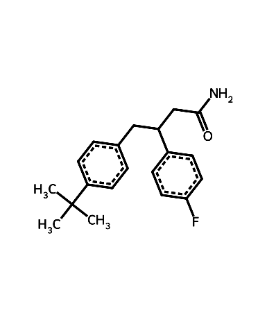 CC(C)(C)c1ccc(CC(CC(N)=O)c2ccc(F)cc2)cc1